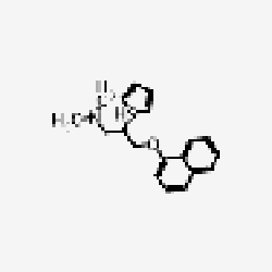 CN(C)CC(COc1cccc2ccccc12)[SH]1C=CC=C1